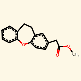 COC(=O)Cc1ccc2c(c1)CCc1ccccc1O2